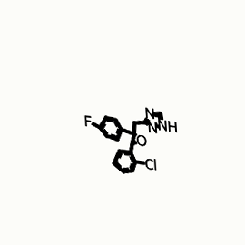 Fc1ccc(C2(Cc3nc[nH]n3)OC2c2ccccc2Cl)cc1